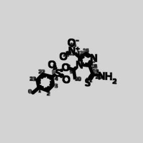 Cc1ccc(S(=O)(=O)OC(C)n2c([N+](=O)[O-])cnc2C(N)=S)cc1